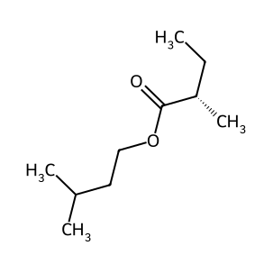 CC[C@H](C)C(=O)OCCC(C)C